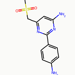 CS(=O)(=O)Cc1cc(N)nc(-c2ccc(N)cc2)n1